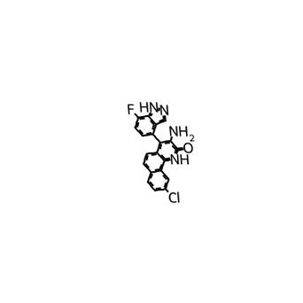 Nc1c(-c2ccc(F)c3[nH]ncc23)c2ccc3ccc(Cl)cc3c2[nH]c1=O